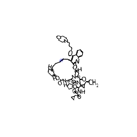 C=CC1C[C@]1(NC(=O)[C@@H]1C[C@@H]2CN1C(=O)[C@H](C1CCCC1)NC(=O)O[C@@H]1CCC[C@H]1CC/C=C/Cc1c(nc3ccccc3c1OCCCN1CCOCC1)O2)C(=O)NS(=O)(=O)C1CC1